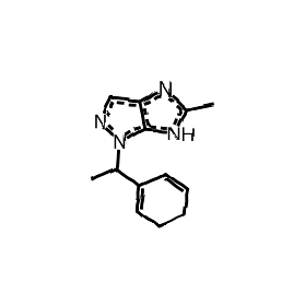 Cc1nc2cnn(C(C)C3=CCCC=C3)c2[nH]1